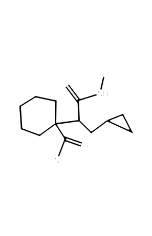 CCNC(=O)C(CC1CC1)C1(C(N)=O)CCCCC1